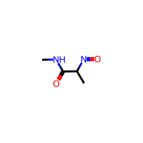 CNC(=O)C(C)N=O